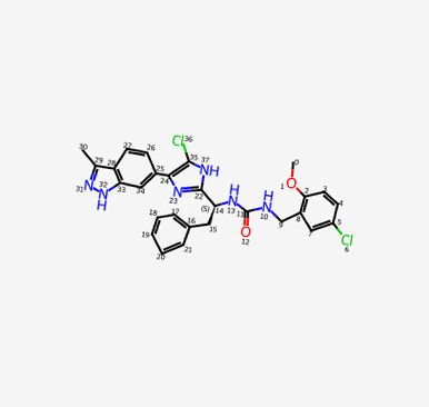 COc1ccc(Cl)cc1CNC(=O)N[C@@H](Cc1ccccc1)c1nc(-c2ccc3c(C)n[nH]c3c2)c(Cl)[nH]1